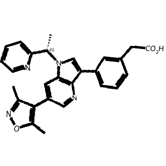 Cc1noc(C)c1-c1cnc2c(-c3cccc(CC(=O)O)c3)cn([C@@H](C)c3ccccn3)c2c1